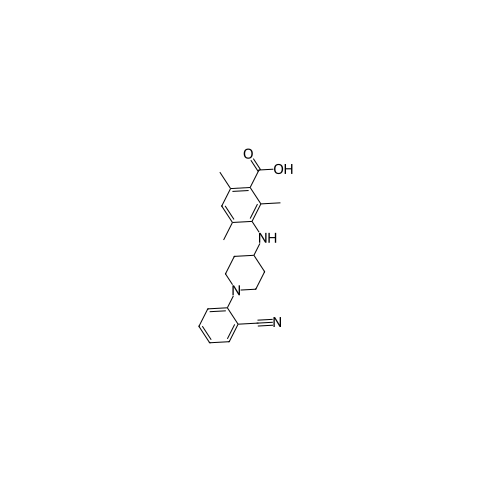 Cc1cc(C)c(C(=O)O)c(C)c1NC1CCN(c2ccccc2C#N)CC1